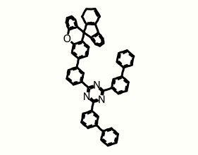 C1=CC2=C(CC1)C1(c3ccccc3Oc3cc(-c4cccc(-c5nc(-c6cccc(-c7ccccc7)c6)nc(-c6cccc(-c7ccccc7)c6)n5)c4)ccc31)c1ccccc12